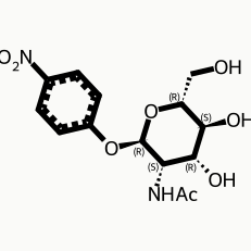 CC(=O)N[C@@H]1[C@@H](Oc2ccc([N+](=O)[O-])cc2)O[C@H](CO)[C@@H](O)[C@@H]1O